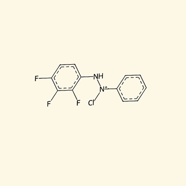 Fc1ccc(N[N+](Cl)c2ccccc2)c(F)c1F